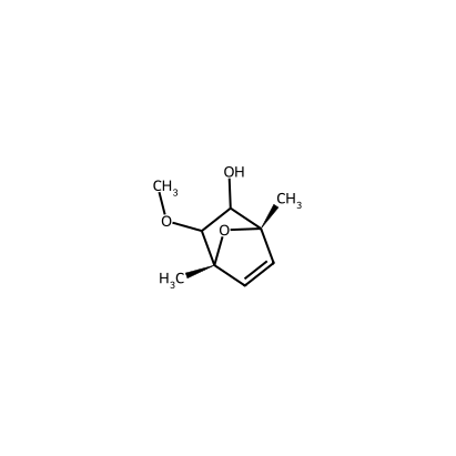 COC1C(O)[C@]2(C)C=C[C@@]1(C)O2